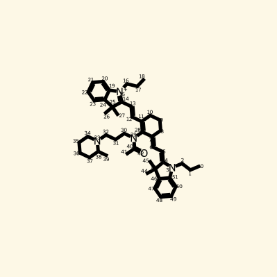 CCCN1/C(=C/C=C2\CCCC(/C=C/C3=[N+](CCC)c4ccccc4C3(C)C)=C2N(CCCN2CCCCC2C)C(C)=O)C(C)(C)c2ccccc21